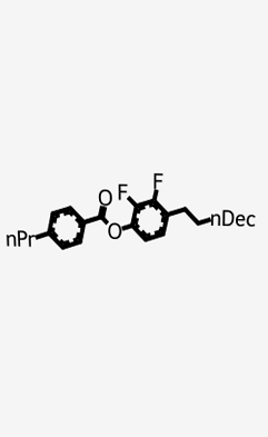 CCCCCCCCCCCCc1ccc(OC(=O)c2ccc(CCC)cc2)c(F)c1F